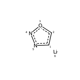 [Li].c1conn1